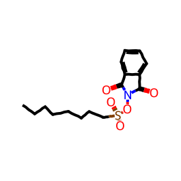 CCCCCCCCS(=O)(=O)ON1C(=O)c2ccccc2C1=O